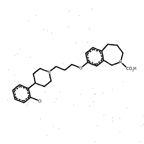 O=C(O)N1CCCc2ccc(OCCCN3CCC(c4ccccc4Cl)CC3)cc2C1